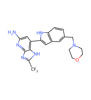 Nc1cc(-c2cc3cc(CN4CCOCC4)ccc3[nH]2)c2[nH]c(C(F)(F)F)nc2n1